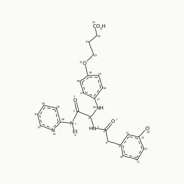 CCN(C(=O)C(NC(=O)Cc1cccc(Cl)c1)Nc1ccc(OCCCC(=O)O)cc1)c1ccccn1